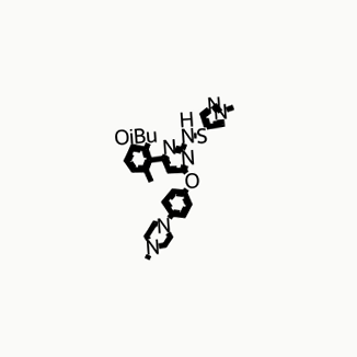 Cc1cccc(OCC(C)C)c1-c1cc(Oc2ccc(N3CCN(C)CC3)cc2)nc(NSc2cnn(C)c2)n1